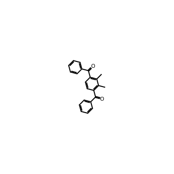 Cc1c(C(=O)c2ccccc2)ccc(C(=O)c2ccccc2)c1C